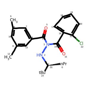 CCC[C@H](NN(C(=O)c1cc(C)cc(C)c1)C(=O)c1ccccc1Cl)C(C)(C)C